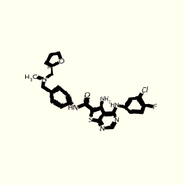 CN(Cc1ccc(NC(=O)c2sc3ncnc(Nc4ccc(F)c(Cl)c4)c3c2N)cc1)C[C@H]1CCCO1